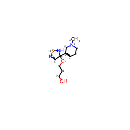 CN1CCC=C(C2(OCCCO)C=NSN2)C1